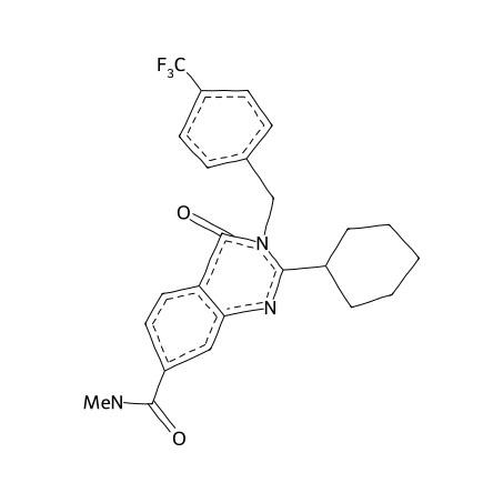 CNC(=O)c1ccc2c(=O)n(Cc3ccc(C(F)(F)F)cc3)c(C3CCCCC3)nc2c1